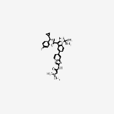 BC(B)(B)n1cc(C(=O)N[C@H](c2ccc(F)cc2)C2CC2)c2cc(-c3ccn4nc(NC(=O)CN(C)C)nc4c3)ccc21